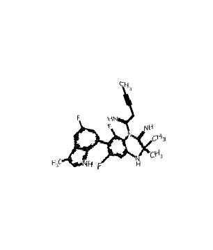 CC#CCC(=N)N1C(=N)C(C)(C)Nc2cc(F)c(-c3cc(F)cc4c(C)c[nH]c34)c(F)c21